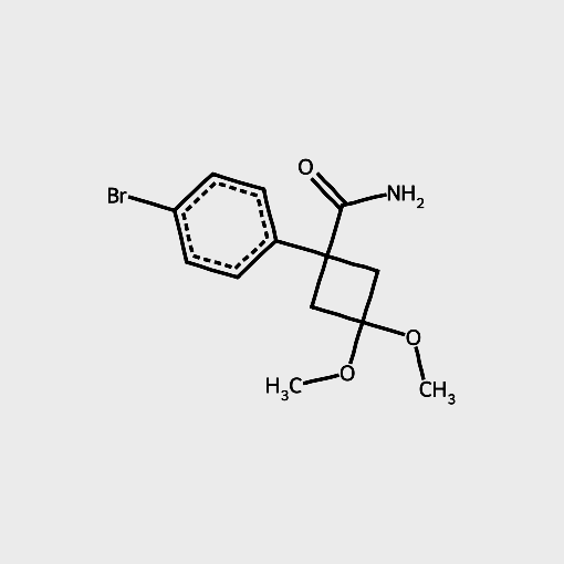 COC1(OC)CC(C(N)=O)(c2ccc(Br)cc2)C1